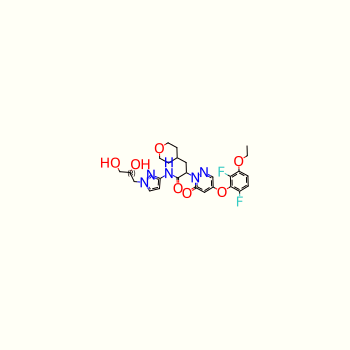 CCOc1ccc(F)c(Oc2cnn(C(CC3CCOCC3)C(=O)Nc3ccn(C[C@@H](O)CO)n3)c(=O)c2)c1F